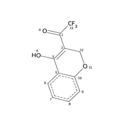 O=C(C1=C(O)c2ccccc2OC1)C(F)(F)F